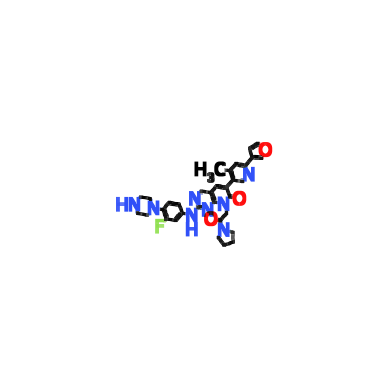 Cc1cc(-c2ccoc2)ncc1-c1cc2cnc(Nc3ccc(N4CCNCC4)c(F)c3)nc2n(CC(=O)N2CCCC2)c1=O